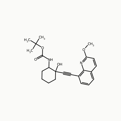 COc1ccc2cccc(C#CC3(O)CCCCC3NC(=O)OC(C)(C)C)c2n1